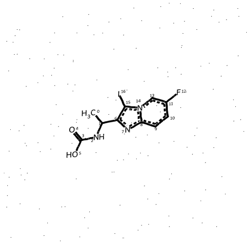 CC(NC(=O)O)c1nc2ccc(F)cn2c1I